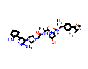 Cc1ncsc1-c1ccc([C@H](C)NC(=O)[C@@H]2C[C@@H](O)CN2C(=O)[C@@H](NC(=O)CN2CCN(c3cc(-c4ccccc4N)nnc3N)CC2)C(C)(C)C)cc1